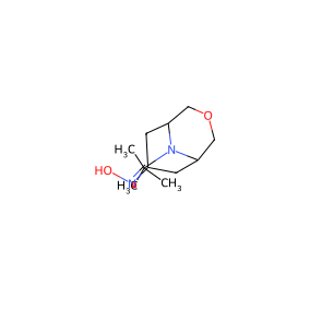 CC(C)(C)N1C2COCC1CC(=NO)C2